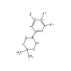 CC1(C)COB(c2cc(F)c(F)c(F)c2)OC1